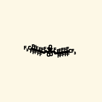 O=C(C(F)CC(F)(F)C(F)(F)C(F)(F)C(F)(F)C(F)(F)C(F)(F)F)C1(C(=O)C(F)CC(F)(F)C(F)(F)C(F)(F)C(F)(F)C(F)(F)C(F)(F)F)COC1